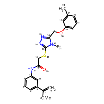 C=C(OC)c1cccc(NC(=O)CSc2nnc(COc3cccc(C)c3)n2CC)c1